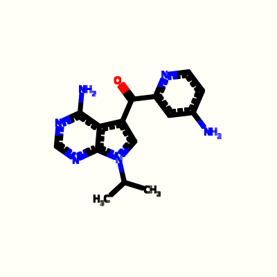 CC(C)n1cc(C(=O)c2cc(N)ccn2)c2c(N)ncnc21